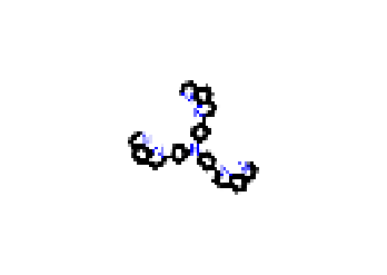 c1cnc2c(c1)ccc1ccc(-c3ccc(N(c4ccc(-c5ccc6ccc7cccnc7c6n5)cc4)c4ccc(-c5ccc6ccc7cccnc7c6n5)cc4)cc3)nc12